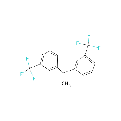 CC(c1cccc(C(F)(F)F)c1)c1cccc(C(F)(F)F)c1